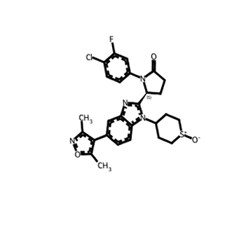 Cc1noc(C)c1-c1ccc2c(c1)nc([C@@H]1CCC(=O)N1c1ccc(Cl)c(F)c1)n2C1CC[S+]([O-])CC1